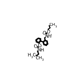 CCCCOC(=O)NCc1ccccc1-c1ccccc1OC(=O)NCCC(C)C